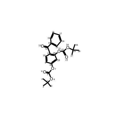 CC(C)(C)OC(=O)Oc1ccc(C(=O)c2ccccc2)c(OC(=O)OC(C)(C)C)c1